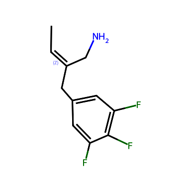 C/C=C(\CN)Cc1cc(F)c(F)c(F)c1